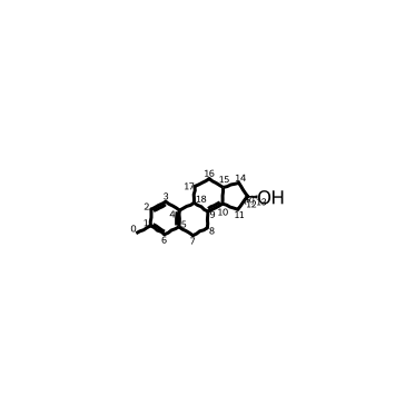 Cc1ccc2c(c1)CCC1=C3C[C@H](O)CC3CCC12